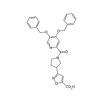 O=C(O)c1cc(C2CCN(C(=O)c3cc(OCc4ccccc4)c(OCc4ccccc4)cn3)C2)no1